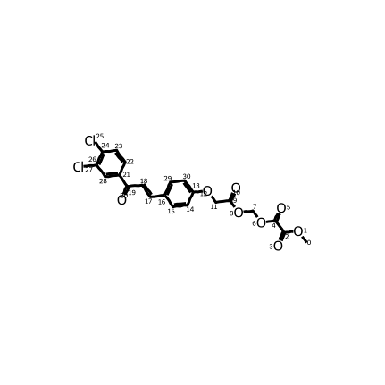 COC(=O)C(=O)OCOC(=O)COc1ccc(/C=C/C(=O)c2ccc(Cl)c(Cl)c2)cc1